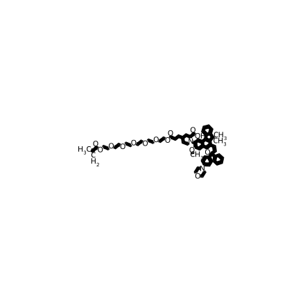 C=C(C)C(=O)OCCOCCOCCOCCOCCOCCOC(=O)CCC1CCN(c2cc3c4c(c5c(c3cc2OC)OC(c2ccccc2)(c2ccc(N3CCOCC3)cc2)C=C5)C(C)(C)c2ccccc2-4)C(C(=O)O)C1